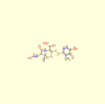 Cn1c(SCC2=C(C(=O)O)N3C(=O)C(NC=O)[C@H]3SC2)nnc(O)c1=O